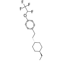 CC[C@H]1CC[C@H](CCc2ccc(OC(F)C(F)(F)F)cc2)CC1